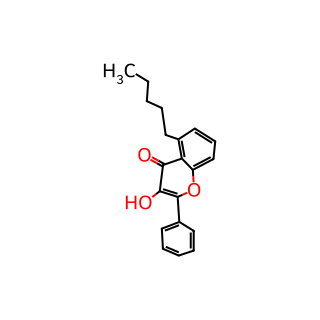 CCCCCc1cccc2oc(-c3ccccc3)c(O)c(=O)c12